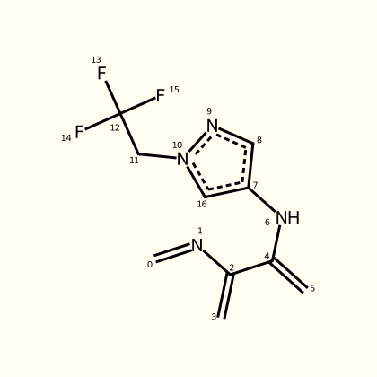 C=NC(=C)C(=C)Nc1cnn(CC(F)(F)F)c1